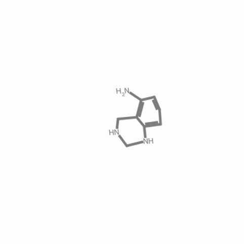 Nc1cccc2c1CNCN2